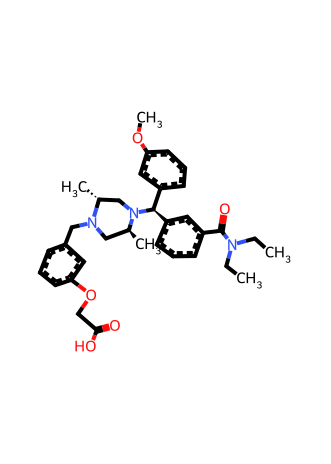 CCN(CC)C(=O)c1cccc([C@H](c2cccc(OC)c2)N2C[C@@H](C)N(Cc3cccc(OCC(=O)O)c3)C[C@@H]2C)c1